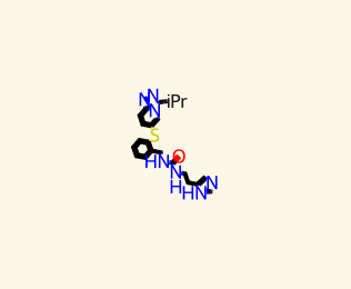 CC(C)c1nnc2ccc(Sc3ccccc3CNC(=O)NCCc3cnc[nH]3)cn12